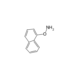 NOc1cccc2ccccc12